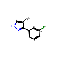 CCCc1c[nH]nc1-c1cccc(F)c1